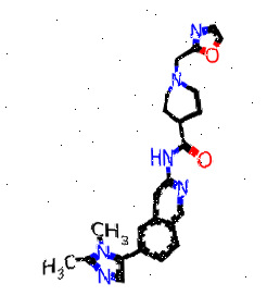 Cc1ncc(-c2ccc3cnc(NC(=O)C4CCN(Cc5ncco5)CC4)cc3c2)n1C